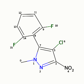 Cn1nc([N+](=O)[O-])c(Cl)c1-c1c(F)cccc1F